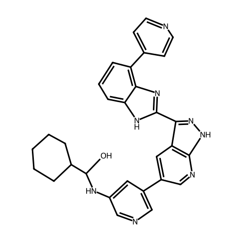 OC(Nc1cncc(-c2cnc3[nH]nc(-c4nc5c(-c6ccncc6)cccc5[nH]4)c3c2)c1)C1CCCCC1